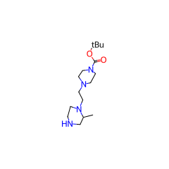 CC1CNCCN1CCN1CCN(C(=O)OC(C)(C)C)CC1